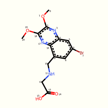 COc1nc2cc(Br)cc(CNCC(=O)O)c2nc1OC